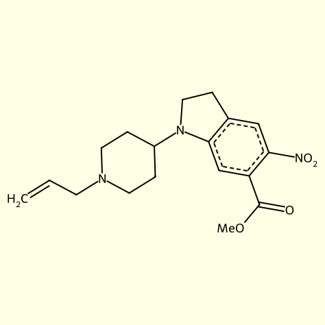 C=CCN1CCC(N2CCc3cc([N+](=O)[O-])c(C(=O)OC)cc32)CC1